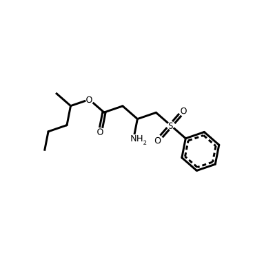 CCCC(C)OC(=O)CC(N)CS(=O)(=O)c1ccccc1